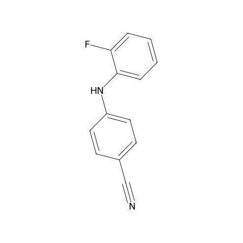 N#Cc1ccc(Nc2ccccc2F)cc1